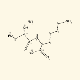 Cl.NCCCCC(NC(=O)C(O)CO)C(=O)O